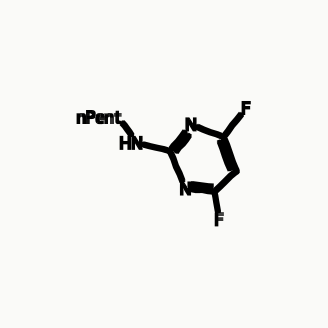 CCCCCNc1nc(F)cc(F)n1